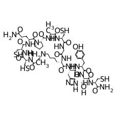 CC(=O)N[C@@H](CS)C(=O)N[C@@H](CS)C(=O)N[C@@H](CCC(N)=O)C(=O)N1CCC[C@H]1C(=O)N[C@@H](C)C(=O)N[C@@H](CS)C(=O)NCC(=O)N[C@@H](CCCCN)C(=O)N[C@@H](Cc1c[nH]cn1)C(=O)N[C@@H](Cc1ccc(O)cc1)C(=O)N[C@@H](CO)C(=O)N[C@@H](CS)C(N)=O